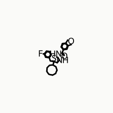 O=C(NC1NCC(Cc2cccc(F)c2)(C2CCCCCCCC2)S1)c1ccc2c(c1)COC2